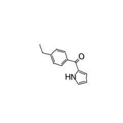 CCc1ccc(C(=O)c2ccc[nH]2)cc1